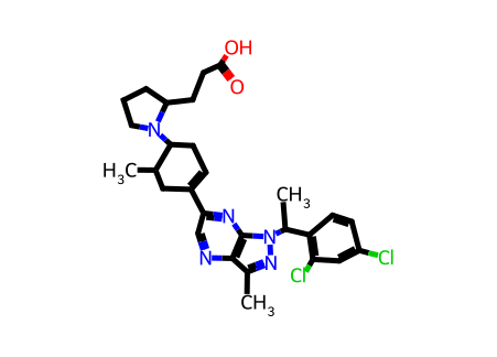 Cc1nn(C(C)c2ccc(Cl)cc2Cl)c2nc(C3=CCC(N4CCCC4CCC(=O)O)C(C)C3)cnc12